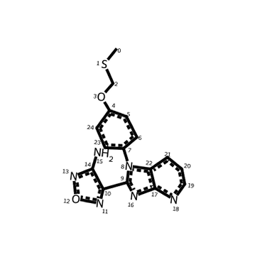 CSCOc1ccc(-n2c(-c3nonc3N)nc3ncccc32)cc1